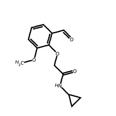 COc1cccc(C=O)c1OCC(=O)NC1CC1